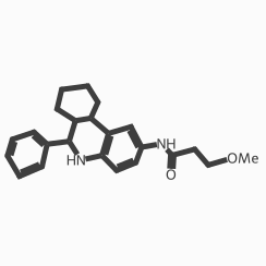 COCCC(=O)Nc1ccc2c(c1)C1CCCCC1C(c1ccccc1)N2